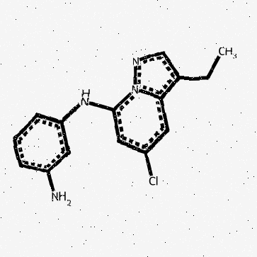 CCc1cnn2c(Nc3cccc(N)c3)cc(Cl)cc12